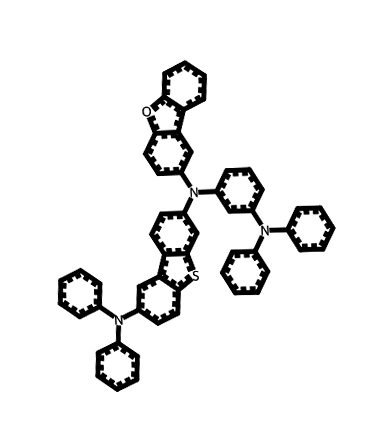 c1ccc(N(c2ccccc2)c2cccc(N(c3ccc4c(c3)sc3ccc(N(c5ccccc5)c5ccccc5)cc34)c3ccc4oc5ccccc5c4c3)c2)cc1